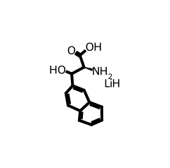 N[C@H](C(=O)O)C(O)c1ccc2ccccc2c1.[LiH]